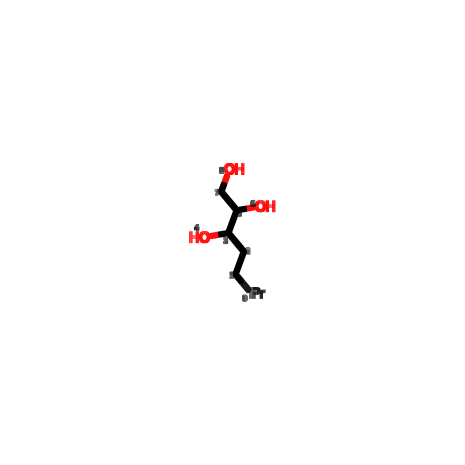 CC(C)CCC(O)C(O)CO